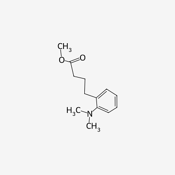 COC(=O)CCCc1ccccc1N(C)C